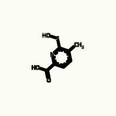 Cc1ccc(C(=O)O)nc1SO